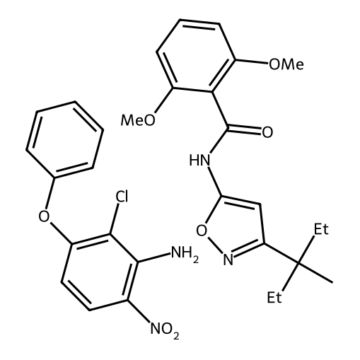 CCC(C)(CC)c1cc(NC(=O)c2c(OC)cccc2OC)on1.Nc1c([N+](=O)[O-])ccc(Oc2ccccc2)c1Cl